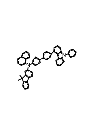 CC1(C)c2ccccc2-c2ccc(N(c3ccc(-c4ccc(-c5cccc6c5c5ccccc5n6-c5ccccc5)cc4)cc3)c3cccc4ccccc34)cc21